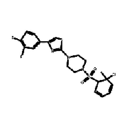 CC1(Cl)C=CC=CC1S(=O)(=O)N1CCN(c2nc(-c3ccc(F)c(F)c3)cs2)CC1